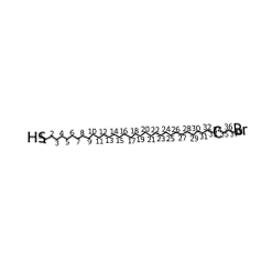 SCCCCCCCCCCCCCCCCCCCCCCCCCCCCCCCCCCCCCBr